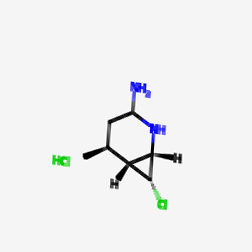 C[C@H]1CC(N)N[C@@H]2[C@H](Cl)[C@@H]21.Cl